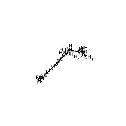 CCCN(CCC)C(=O)C1=Cc2sc(CCCCCN/C(=N/C)NCC(O)C(O)COCCOCCOCCOCCOCCOCCOCCOCCC(=O)Oc3c(F)c(F)cc(F)c3F)cc2N=C(N)C1